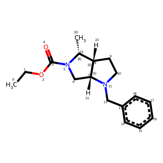 CCOC(=O)N1C[C@@H]2[C@@H](CCN2Cc2ccccc2)[C@H]1C